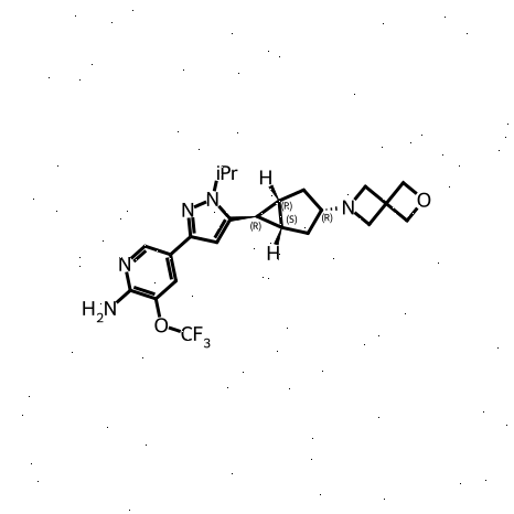 CC(C)n1nc(-c2cnc(N)c(OC(F)(F)F)c2)cc1[C@H]1[C@@H]2C[C@H](N3CC4(COC4)C3)C[C@@H]21